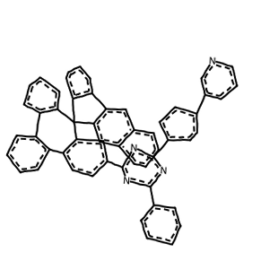 c1ccc(-c2nc(-c3ccc(-c4cccnc4)cc3)nc(-c3ccc4c(c3)C3(c5ccccc5-c5ccccc5-4)c4ccccc4-c4cc5ccccc5cc43)n2)cc1